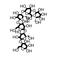 OCC1O[C@@H](O[C@H]2C(O)C(O)[C@H](O[C@@H]3C(CO)O[C@@H](O[C@H]4C(O)C(O)[C@H](O[C@@H]5C(CO)O[C@@H](O)[C@@H](O)C5O)O[C@H]4CO)[C@@H](O)C3O)O[C@H]2CO)[C@@H](O)C(O)[C@@H]1O[C@@H]1O[C@@H](CO)[C@@H](O)C(O)C1O